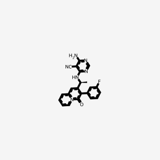 C[C@H](Nc1ncnc(N)c1C#N)c1cc2ccccn2c(=O)c1-c1cccc(F)c1